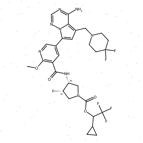 COc1ncc(-c2cc(CN3CCC(F)(F)CC3)c3c(N)ncnn23)cc1C(=O)N[C@@H]1CN(C(=O)OC(C2CC2)C(F)(F)F)C[C@@H]1F